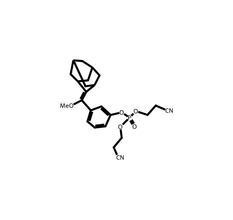 COC(=C1C2CC3CC(C2)CC1C3)c1cccc(OP(=O)(OCCC#N)OCCC#N)c1